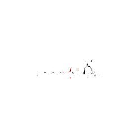 CC(C)CCCCCOC(=O)C(O)(S)Cc1cc(C(C)(C)C)cc(C(C)(C)C)c1